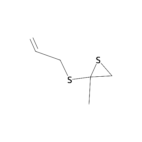 C=CCSC1(C)CS1